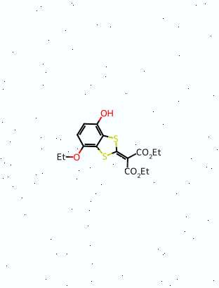 CCOC(=O)C(C(=O)OCC)=C1Sc2c(O)ccc(OCC)c2S1